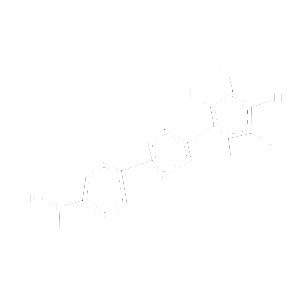 [2H]c1c([2H])c([2H])c(-c2ccc(-c3ccc(B(O)O)cc3)cc2)c([2H])c1[2H]